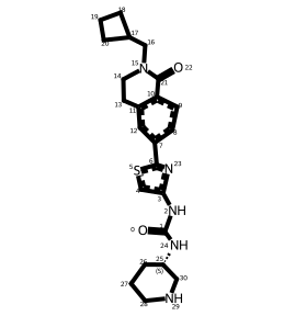 O=C(Nc1csc(-c2ccc3c(c2)CCN(CC2CCC2)C3=O)n1)N[C@H]1CCCNC1